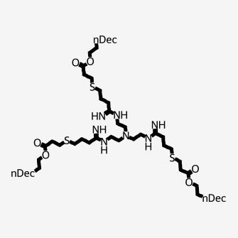 CCCCCCCCCCCCOC(=O)CCSCCCC(=N)NCCN(CCNC(=N)CCCSCCC(=O)OCCCCCCCCCCCC)CCNC(=N)CCCSCCC(=O)OCCCCCCCCCCCC